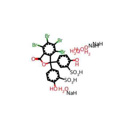 O.O.O.O.O=C1OC(c2ccc(O)c(S(=O)(=O)O)c2)(c2ccc(O)c(S(=O)(=O)O)c2)c2c(Br)c(Br)c(Br)c(Br)c21.[NaH].[NaH].[NaH]